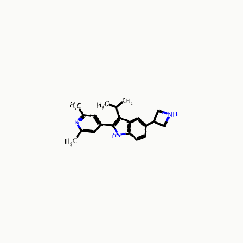 Cc1cc(-c2[nH]c3ccc(C4CNC4)cc3c2C(C)C)cc(C)n1